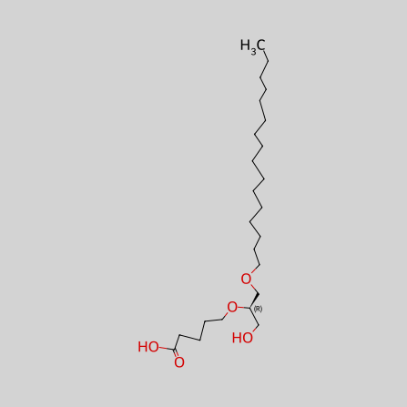 CCCCCCCCCCCCCCCCOC[C@@H](CO)OCCCCC(=O)O